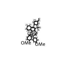 COc1ccc(C2(c3cc(OC)ccc3OC)C=Cc3c4c(c5ccccc5c3O2)-c2ccc(F)cc2C4(C)C)cc1